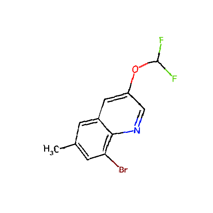 Cc1cc(Br)c2ncc(OC(F)F)cc2c1